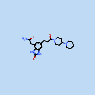 NC(=O)Cc1cc(C[CH]C(=O)N2CCC(N3CCCCC3)CC2)cc2[nH]c(=O)[nH]c12